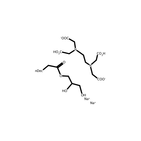 CCCCCCCCCCCC(=O)OCC(O)CO.O=C([O-])CN(CCN(CC(=O)[O-])CC(=O)O)CC(=O)O.[Na+].[Na+]